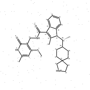 CSc1cc(C)[nH]c(=O)c1CNC(=O)c1c(C)n([C@H](C)C2CCC3(CCNC3)CC2)c2ccccc12